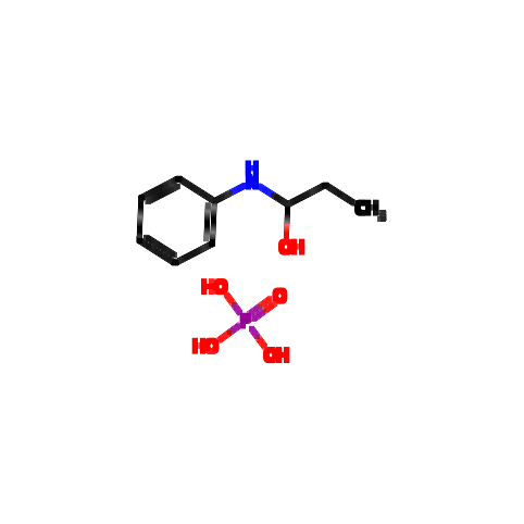 CCC(O)Nc1ccccc1.O=P(O)(O)O